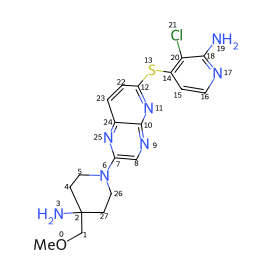 COCC1(N)CCN(c2cnc3nc(Sc4ccnc(N)c4Cl)ccc3n2)CC1